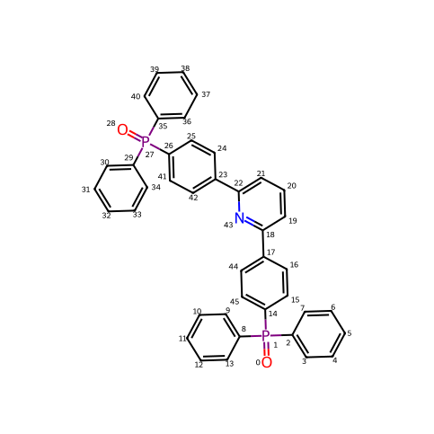 O=P(c1ccccc1)(c1ccccc1)c1ccc(-c2cccc(-c3ccc(P(=O)(c4ccccc4)c4ccccc4)cc3)n2)cc1